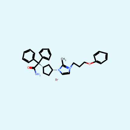 Cc1n([C@@H]2CC[C@H](C(C(N)=O)(c3ccccc3)c3ccccc3)C2)cc[n+]1CCCOc1ccccc1.[Br-]